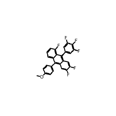 COc1ccc(-c2c3cc(F)c(F)cc3c(-c3cc(F)c(F)c(F)c3)c3c(F)cccc23)cc1